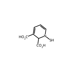 O=C(O)C1=CC=CN(S)C1C(=O)O